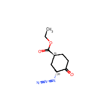 CCOC(=O)[C@H]1CCC(=O)[C@H](N=[N+]=[N-])C1